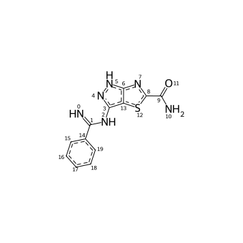 N=C(Nc1n[nH]c2nc(C(N)=O)sc12)c1ccccc1